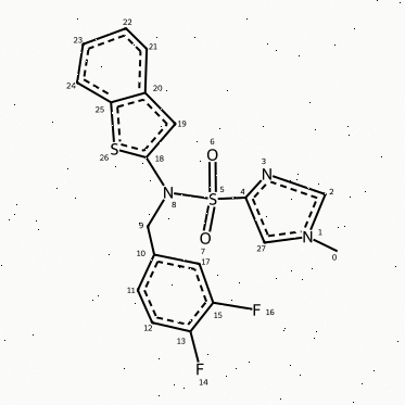 Cn1cnc(S(=O)(=O)N(Cc2ccc(F)c(F)c2)c2cc3ccccc3s2)c1